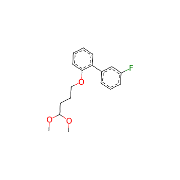 COC(CCCOc1ccccc1-c1cccc(F)c1)OC